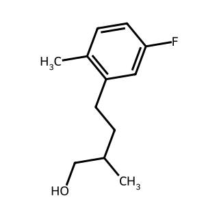 Cc1ccc(F)cc1CCC(C)CO